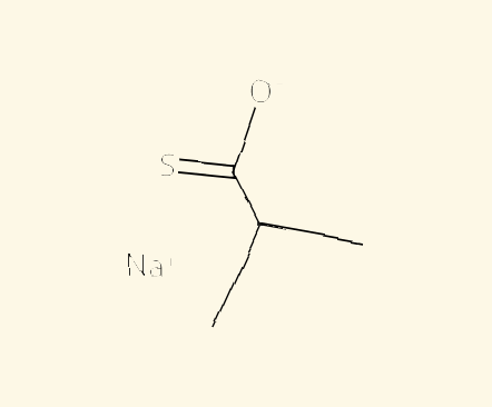 CC(C)C([O-])=S.[Na+]